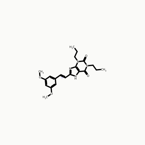 CCCn1c(=O)c2[nH]c(/C=C/c3cc(OC)cc(OC)c3)nc2n(CCC)c1=O